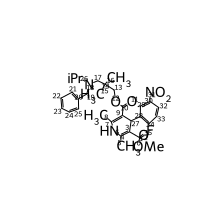 COC(=O)C1=C(C)NC(C)=C(C(=O)OCC(C)(C)CN(Cc2ccccc2)C(C)C)C1c1cc([N+](=O)[O-])ccc1F